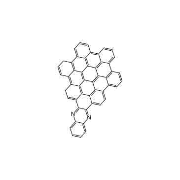 C1=Cc2c3c4c5c(c6nc7ccccc7nc6c6ccc7c8cccc9c%10cccc%11c%12cccc%13c(c2c2c4c(c7c65)c(c98)c(c%11%10)c2c%13%12)C1)=CC3